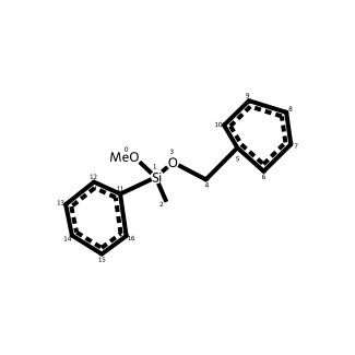 CO[Si](C)(OCc1ccccc1)c1ccccc1